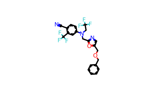 N#Cc1ccc(N(Cc2ncc(COCc3ccccc3)o2)CC(F)(F)F)cc1C(F)(F)F